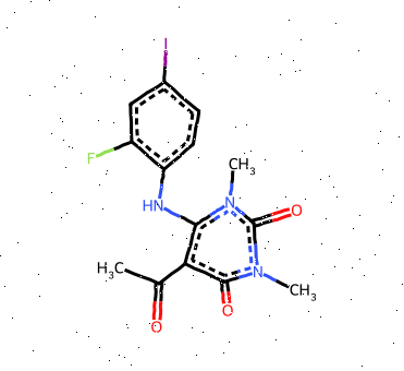 CC(=O)c1c(Nc2ccc(I)cc2F)n(C)c(=O)n(C)c1=O